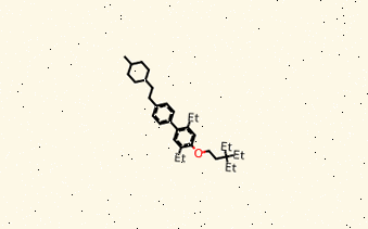 CCc1cc(-c2ccc(CCC3CCC(C)CC3)cc2)c(CC)cc1OCCC(CC)(CC)CC